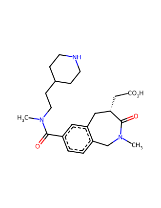 CN(CCC1CCNCC1)C(=O)c1ccc2c(c1)C[C@H](CC(=O)O)C(=O)N(C)C2